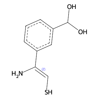 N/C(=C\S)c1cccc(C(O)O)c1